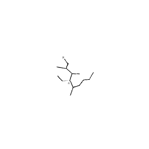 CCCCC(C)[C@H](CC)C(C)C(C)CF